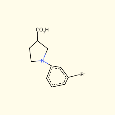 CC(C)c1cccc(N2CCC(C(=O)O)C2)c1